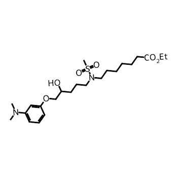 CCOC(=O)CCCCCCN(CCCC(O)COc1cccc(N(C)C)c1)S(C)(=O)=O